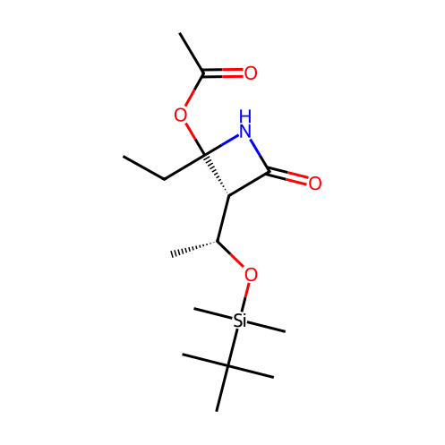 CCC1(OC(C)=O)NC(=O)[C@@H]1[C@@H](C)O[Si](C)(C)C(C)(C)C